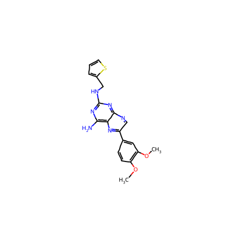 COc1ccc(-c2cnc3nc(NCc4cccs4)nc(N)c3n2)cc1OC